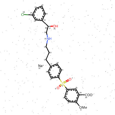 COc1ccc(S(=O)(=O)c2ccc(CCCNC[C@H](O)c3cccc(Cl)c3)cc2)cc1C(=O)[O-].[Na+]